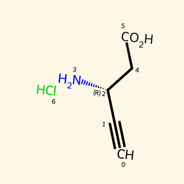 C#C[C@H](N)CC(=O)O.Cl